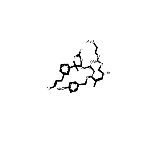 CCC(=O)O[C@@H](C[C@@H](C[C@H](OCc1ccc(OC)cc1)/C(C)=C\[C@@H](CC)COCOCCOC)OC)C(C)(C)c1cccc(C/C=C/C(C)=O)c1